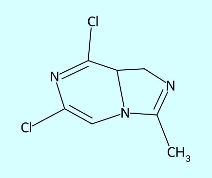 CC1=NCC2C(Cl)=NC(Cl)=CN12